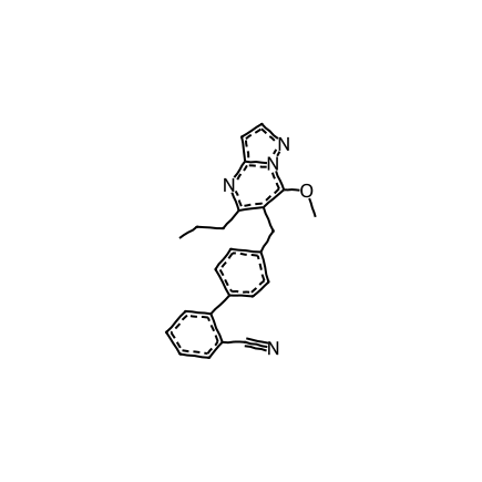 CCCc1nc2ccnn2c(OC)c1Cc1ccc(-c2ccccc2C#N)cc1